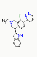 CN1Cc2c(ccc(-c3cccnn3)c2F)C(c2cc3ccccc3[nH]2)C1